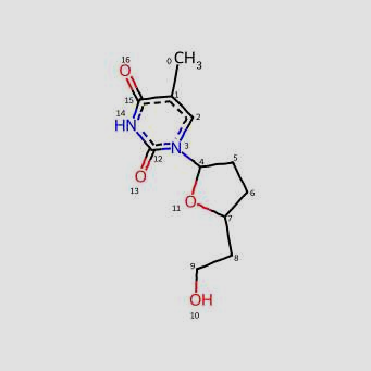 Cc1cn(C2CCC(CCO)O2)c(=O)[nH]c1=O